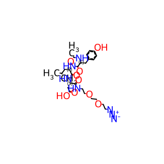 CC(=O)N[C@@H](Cc1ccc(O)cc1)C(=O)N[C@H](CC(C)C)C(=O)N[C@@H](CC(=O)O)C(=O)NCCOCCOCCN=[N+]=[N-]